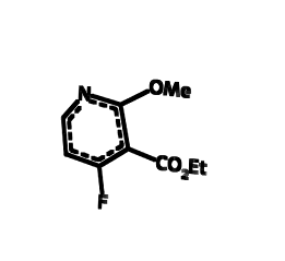 CCOC(=O)c1c(F)ccnc1OC